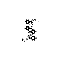 COC(=O)c1ccccc1Nc1cccc2c1C(=O)c1cccc(NC3=CC=CCC3C(=O)OC)c1C2=O